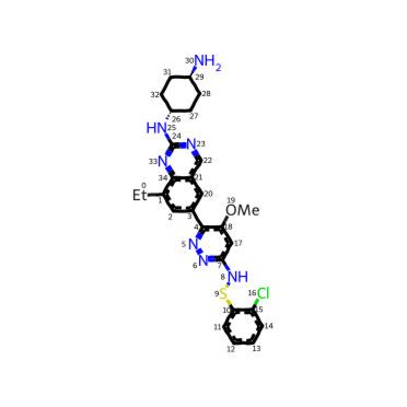 CCc1cc(-c2nnc(NSc3ccccc3Cl)cc2OC)cc2cnc(N[C@H]3CC[C@H](N)CC3)nc12